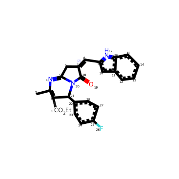 CCOC(=O)C1=C(C)N=C2C/C(=C/c3cc4ccccc4[nH]3)C(=O)N2C1c1ccc(F)cc1